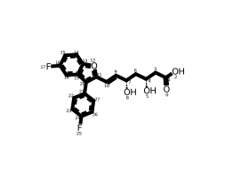 O=C(O)C[C@H](O)C[C@H](O)C=Cc1oc2ccc(F)cc2c1-c1ccc(F)cc1